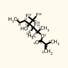 C=C(C)C(=O)OC(C)(C)C(F)(F)C(O)(CCC)C(F)(F)F